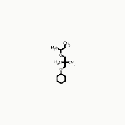 CCC(C)OCC(C)(C)COC1CCCCC1